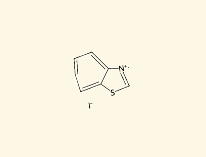 C1=[N+]c2ccccc2S1.[I-]